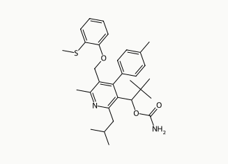 CSc1ccccc1OCc1c(C)nc(CC(C)C)c(C(OC(N)=O)C(C)(C)C)c1-c1ccc(C)cc1